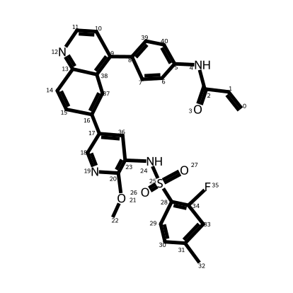 C=CC(=O)Nc1ccc(-c2ccnc3ccc(-c4cnc(OC)c(NS(=O)(=O)c5ccc(C)cc5F)c4)cc23)cc1